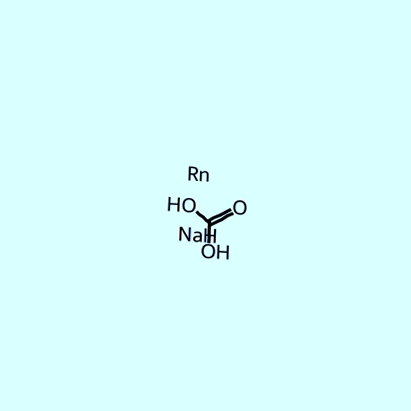 O=C(O)O.[NaH].[Rn]